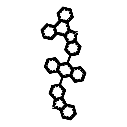 c1ccc2c(c1)sc1ccc(-c3c4ccccc4c(-c4ccc5sc6c7ccccc7c7ccccc7c6c5c4)c4ccccc34)cc12